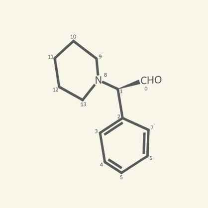 O=C[C@@H](c1ccccc1)N1CCCCC1